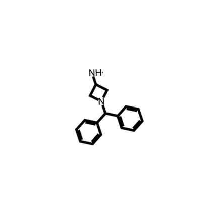 [NH]C1CN(C(c2ccccc2)c2ccccc2)C1